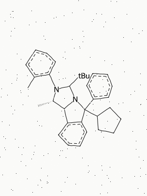 Cc1ccccc1N1C(C(C)(C)C)N2C(c3ccccc3C2(c2ccccc2)C2CCCC2)[C@@H]1C